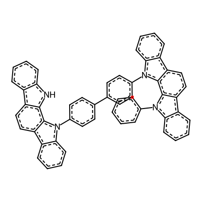 c1ccc(-n2c3ccccc3c3ccc4c5ccccc5n(-c5ccc(-c6ccc(-n7c8ccccc8c8ccc9c%10ccccc%10[nH]c9c87)cc6)cc5)c4c32)cc1